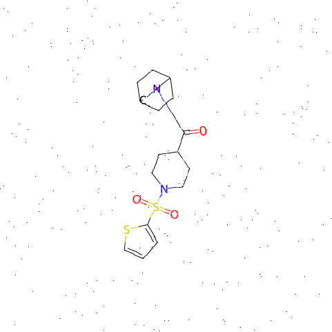 O=C(C1CCN(S(=O)(=O)c2cccs2)CC1)N1CC2CCC(CC2)C1